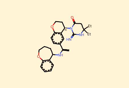 C=C(NC1CCCOc2ccccc21)c1ccc2c(c1)[C@H](N1C(=N)NC(CC)(CC)CC1=O)CCO2